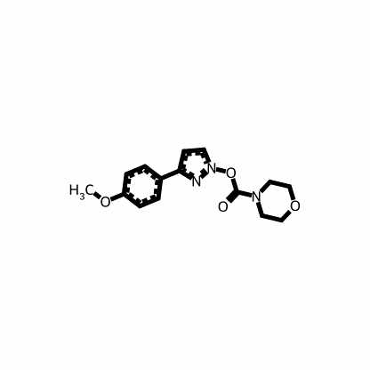 COc1ccc(-c2ccn(OC(=O)N3CCOCC3)n2)cc1